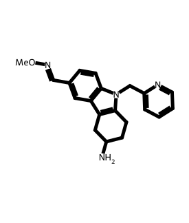 CON=Cc1ccc2c(c1)c1c(n2Cc2ccccn2)CCC(N)C1